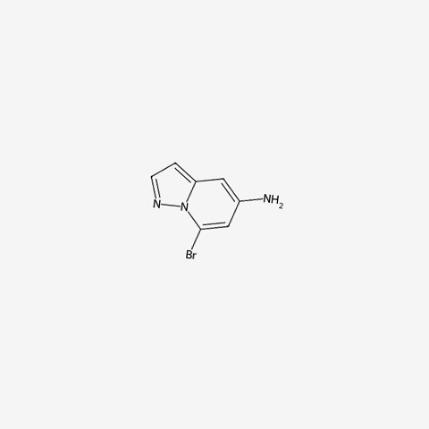 Nc1cc(Br)n2nccc2c1